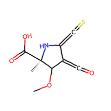 COC1C(=C=O)C(=C=S)N[C@]1(C)C(=O)O